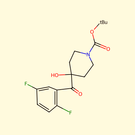 CC(C)(C)OC(=O)N1CCC(O)(C(=O)c2cc(F)ccc2F)CC1